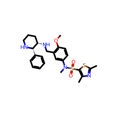 COc1ccc(N(C)S(=O)(=O)c2sc(C)nc2C)cc1CN[C@H]1CCCN[C@H]1c1ccccc1